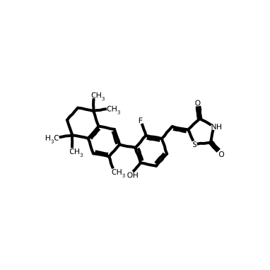 Cc1cc2c(cc1-c1c(O)ccc(/C=C3\SC(=O)NC3=O)c1F)C(C)(C)CCC2(C)C